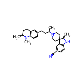 C=C1CCc2cc(CCC(C)N3CCC4(CC3)C(=C)Nc3ccc(C#N)cc34)ccc2N1C